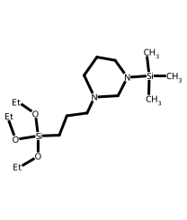 CCO[Si](CCCN1CCCN([Si](C)(C)C)C1)(OCC)OCC